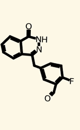 O=Cc1cc(Cc2n[nH]c(=O)c3ccccc23)ccc1F